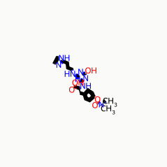 CN(C)C(=O)Oc1ccc(C[C@H](Nc2nc(O)nc(NCCCc3ncc[nH]3)n2)C(=O)O)cc1